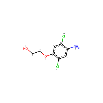 Nc1cc(Cl)c(OCCO)cc1Cl